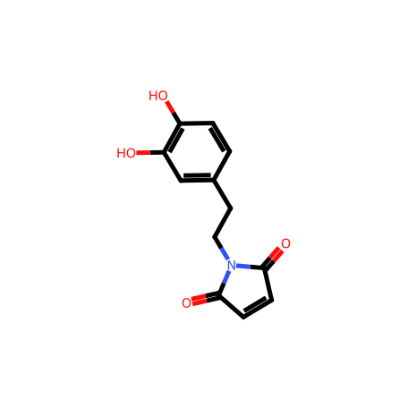 O=C1C=CC(=O)N1CCc1ccc(O)c(O)c1